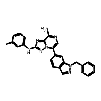 Cc1cccc(Nc2nc3c(N)ncc(-c4ccc5cnn(Cc6ccccc6)c5c4)n3n2)c1